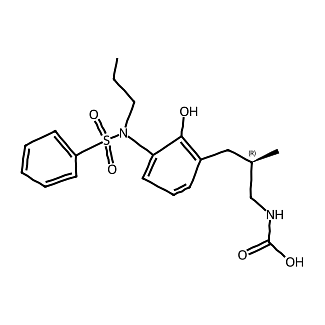 CCCN(c1cccc(C[C@@H](C)CNC(=O)O)c1O)S(=O)(=O)c1ccccc1